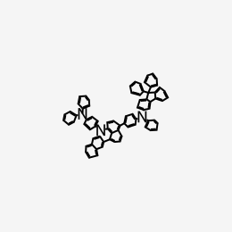 c1ccc(N(c2ccccc2)c2ccc(N3c4cc5ccccc5cc4-c4cccc5c(-c6ccc(N(c7ccccc7)c7ccc8c(c7)-c7ccccc7C8(c7ccccc7)c7ccccc7)cc6)ccc3c45)cc2)cc1